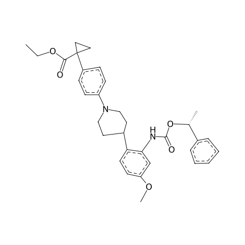 CCOC(=O)C1(c2ccc(N3CCC(c4ccc(OC)cc4NC(=O)O[C@H](C)c4ccccc4)CC3)cc2)CC1